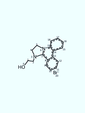 OCCN1CC[n+]2c1c1ccccc1c1ccccc12.[Br-]